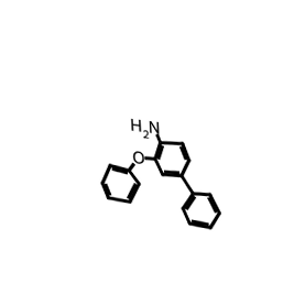 Nc1ccc(-c2ccccc2)cc1Oc1ccccc1